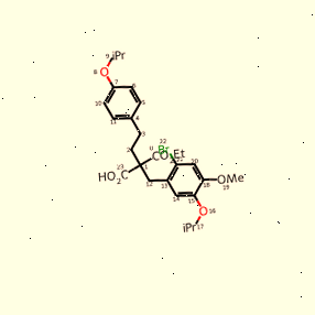 CCOC(=O)C(CCc1ccc(OC(C)C)cc1)(Cc1cc(OC(C)C)c(OC)cc1Br)C(=O)O